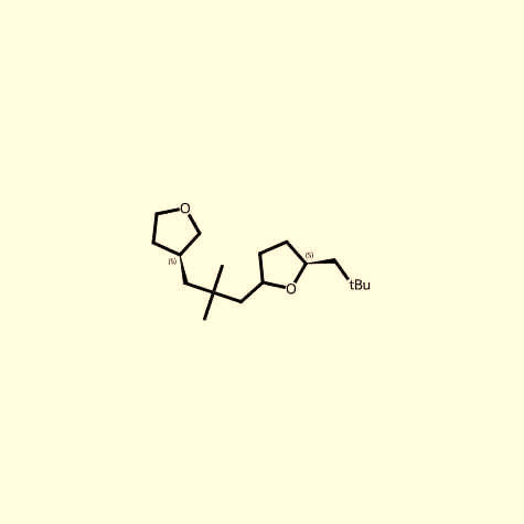 CC(C)(C)C[C@@H]1CCC(CC(C)(C)C[C@H]2CCOC2)O1